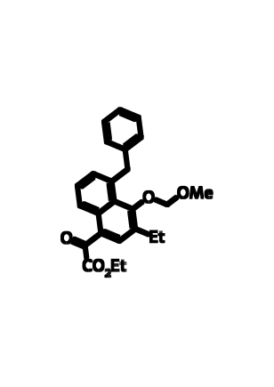 CCOC(=O)C(=O)c1cc(CC)c(OCOC)c2c(Cc3ccccc3)cccc12